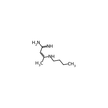 CCCCN/C(C)=C\C(=N)N